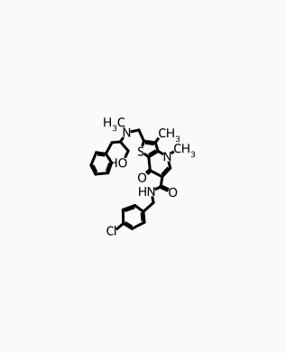 Cc1c(CN(C)C(CO)Cc2ccccc2)sc2c(=O)c(C(=O)NCc3ccc(Cl)cc3)cn(C)c12